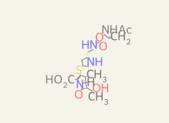 C=CC(NC(C)=O)OC(=O)NCC[C@H]1C[C@H](SC2=C(C(=O)O)N3C(=O)[C@H]([C@@H](C)O)[C@H]3[C@H]2C)CN1